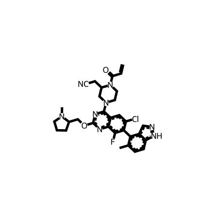 C=CC(=O)N1CCN(c2nc(OCC3CCCN3C)nc3c(F)c(-c4c(C)ccc5[nH]ncc45)c(Cl)cc23)CC1CC#N